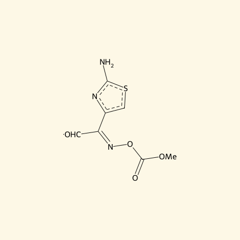 COC(=O)O/N=C(/[C]=O)c1csc(N)n1